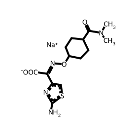 CN(C)C(=O)C1CCC(ON=C(C(=O)[O-])c2csc(N)n2)CC1.[Na+]